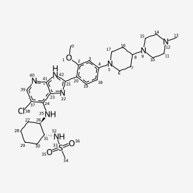 COc1cc(N2CCC(N3CCN(C)CC3)CC2)ccc1-c1nc2c(N[C@@H]3CCCC[C@H]3NS(C)(=O)=O)c(Cl)cnc2[nH]1